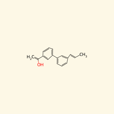 C=C(O)c1cccc(-c2cccc(C=CC)c2)c1